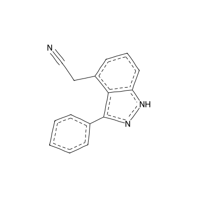 N#CCc1cccc2[nH]nc(-c3ccccc3)c12